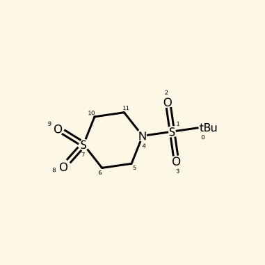 CC(C)(C)S(=O)(=O)N1CCS(=O)(=O)CC1